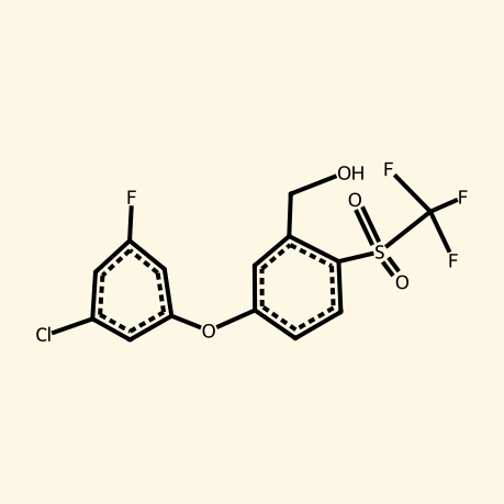 O=S(=O)(c1ccc(Oc2cc(F)cc(Cl)c2)cc1CO)C(F)(F)F